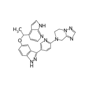 CC(Oc1ccc2[nH]nc(-c3ccc(N4CCn5ncnc5C4)nc3)c2c1)c1ccnc2[nH]ccc12